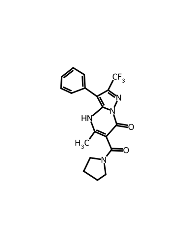 Cc1[nH]c2c(-c3ccccc3)c(C(F)(F)F)nn2c(=O)c1C(=O)N1CCCC1